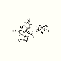 Cc1noc(OC(=O)CCN[S@+]([O-])C(C)(C)C)c1-c1sc(C)c(C)c1C(=O)c1ccc(Cl)cc1